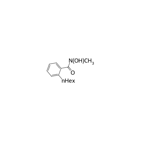 CCCCCCc1ccccc1C(=O)N(C)O